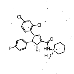 CC[C@@H]1C(C(=O)N[N+]2(C)CCCCC2)=NN(c2ccc(Cl)cc2Cl)[C@H]1c1ccc(F)cc1.[I-]